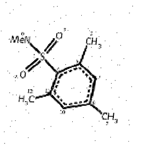 C[N]S(=O)(=O)c1c(C)cc(C)cc1C